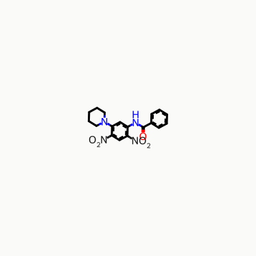 O=C(Nc1cc(N2CCCCC2)c([N+](=O)[O-])cc1[N+](=O)[O-])c1ccccc1